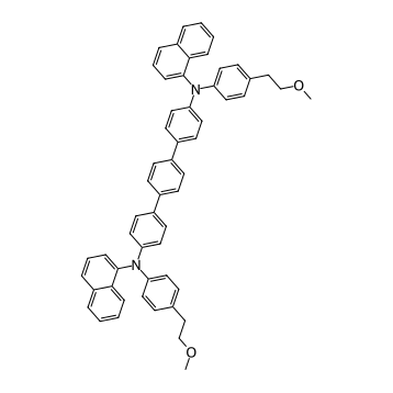 COCCc1ccc(N(c2ccc(-c3ccc(-c4ccc(N(c5ccc(CCOC)cc5)c5cccc6ccccc56)cc4)cc3)cc2)c2cccc3ccccc23)cc1